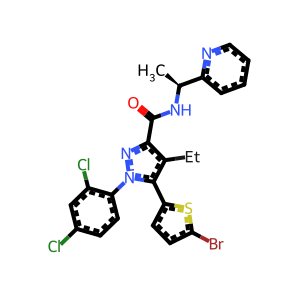 CCc1c(C(=O)N[C@@H](C)c2ccccn2)nn(-c2ccc(Cl)cc2Cl)c1-c1ccc(Br)s1